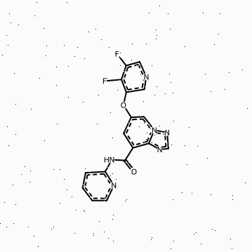 O=C(Nc1ccccn1)c1cc(Oc2cncc(F)c2F)cn2ncnc12